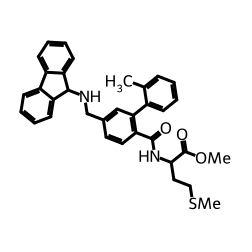 COC(=O)C(CCSC)NC(=O)c1ccc(CNC2c3ccccc3-c3ccccc32)cc1-c1ccccc1C